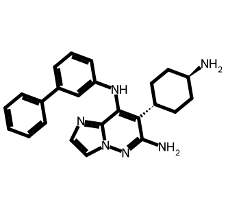 Nc1nn2ccnc2c(Nc2cccc(-c3ccccc3)c2)c1[C@H]1CC[C@H](N)CC1